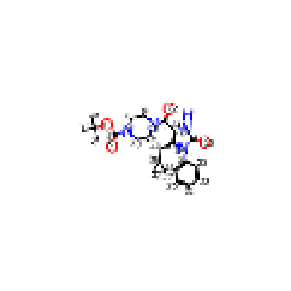 CC(C)(C)OC(=O)N1CCN(C(=O)c2[nH]c(=O)n(-c3ccccc3)c2CC2CC2)CC1